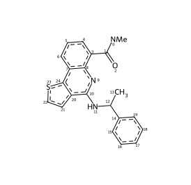 CNC(=O)c1cccc2c1nc(NC(C)c1ccccc1)c1ccsc12